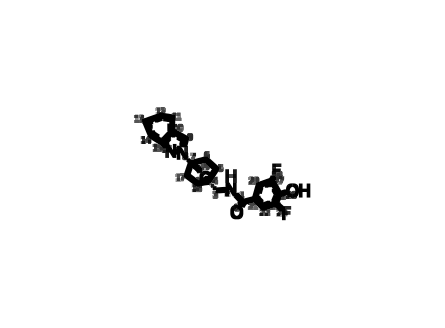 O=C(NC[C@]12CC[C@](n3cc4ccccc4n3)(CC1)CC2)c1cc(F)c(O)c(F)c1